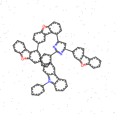 c1ccc(-c2nc(-c3ccc4c(c3)oc3ccccc34)cc(-c3cccc4oc5ccc(-c6cc(-c7ccc8c9ccccc9n(-c9ccccc9)c8c7)cc7oc8ccccc8c67)cc5c34)n2)cc1